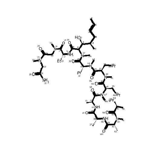 C/C=C/C[C@@H](C)[C@H](O)C(C(=O)N[C@H](CC)C(=O)N(C)CC(=O)N(C)CC(N)=O)N(C)C(=O)[C@@H](C(C)C)N(C)C(=O)[C@@H](CC(C)C)N(C)C(=O)[C@@H](CC(C)C)N(C)C(=O)[C@H](C)NC(=O)[C@@H](C)NC(=O)[C@@H](C)N(C)C(=O)[C@H](C)C(C)C